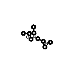 c1ccc(-c2ccc(N(c3ccc(-c4ccc5c(c4)c4ccccc4n5-c4ccccc4)cc3)c3cccc4oc5c(-c6ccccc6)cccc5c34)cc2)cc1